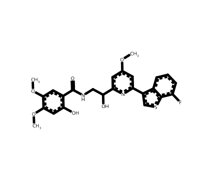 COc1cc(-c2csc3c(F)cccc23)nc(C(O)CNC(=O)c2cc(OC)c(OC)cc2O)c1